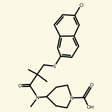 CN(C(=O)C(C)(C)CSc1ccc2cc(Cl)ccc2c1)C1CCN(C(=O)O)CC1